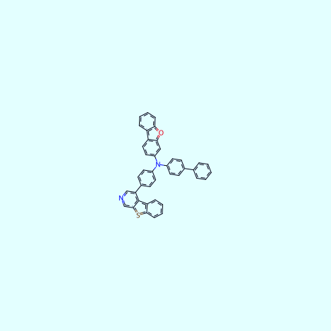 c1ccc(-c2ccc(N(c3ccc(-c4cncc5sc6ccccc6c45)cc3)c3ccc4c(c3)oc3ccccc34)cc2)cc1